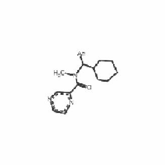 CC(=O)C(C1CCCCC1)N(C)C(=O)c1cnccn1